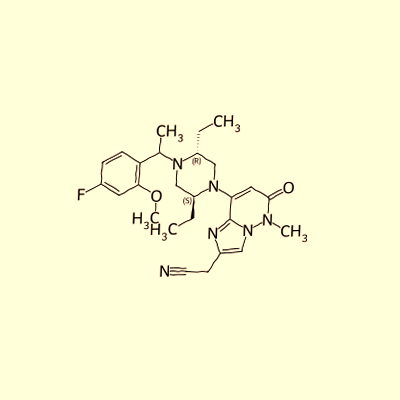 CC[C@H]1CN(C(C)c2ccc(F)cc2OC)[C@H](CC)CN1c1cc(=O)n(C)n2cc(CC#N)nc12